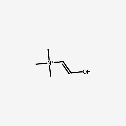 C[N+](C)(C)C=CO